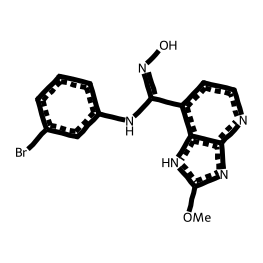 COc1nc2nccc(/C(=N\O)Nc3cccc(Br)c3)c2[nH]1